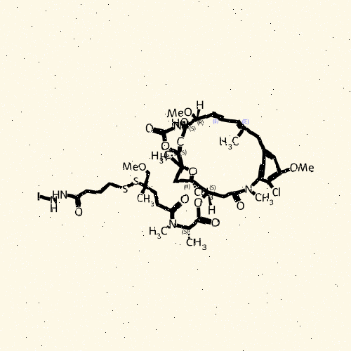 COCC(C)(CCC(=O)N(C)[C@@H](C)C(=O)O[C@H]1CC(=O)N(C)c2cc(cc(OC)c2Cl)C/C(C)=C/C=C/[C@@H](OC)[C@@]2(O)C[C@H](OC(=O)N2)C2(C)C[C@@]1(C)O2)SSCCCC(=O)NNI